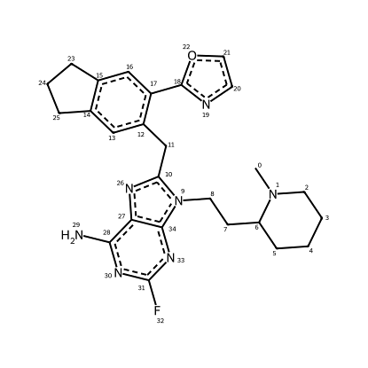 CN1CCCCC1CCn1c(Cc2cc3c(cc2-c2ncco2)CCC3)nc2c(N)nc(F)nc21